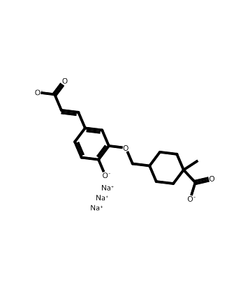 CC1(C(=O)[O-])CCC(COc2cc(/C=C/C(=O)[O-])ccc2[O-])CC1.[Na+].[Na+].[Na+]